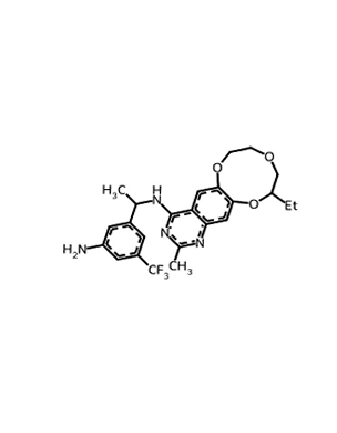 CCC1COCCOc2cc3c(NC(C)c4cc(N)cc(C(F)(F)F)c4)nc(C)nc3cc2O1